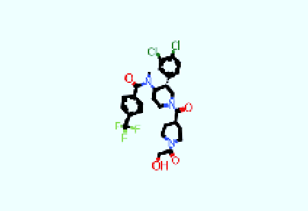 CN(C(=O)c1ccc(C(F)(F)F)cc1)[C@@H]1CCN(C(=O)C2CCN(C(=O)CO)CC2)C[C@H]1c1ccc(Cl)c(Cl)c1